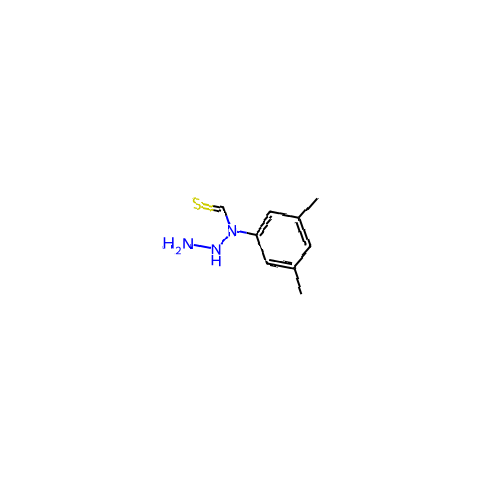 Cc1cc(C)cc(N(C=S)NN)c1